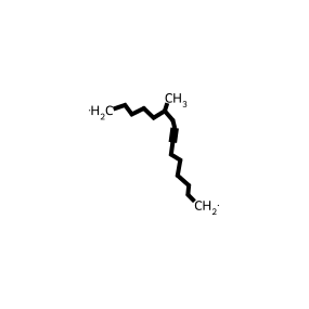 [CH2]CCCCCC#CCC(C)CCCC[CH2]